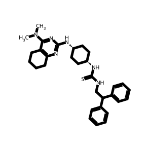 CN(C)c1nc(N[C@H]2CC[C@@H](NC(=S)NCC(c3ccccc3)c3ccccc3)CC2)nc2c1CCCC2